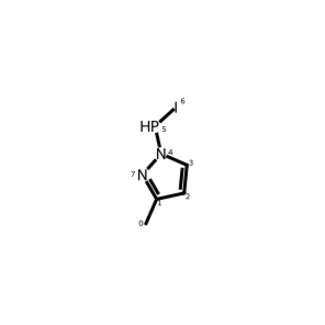 Cc1ccn(PI)n1